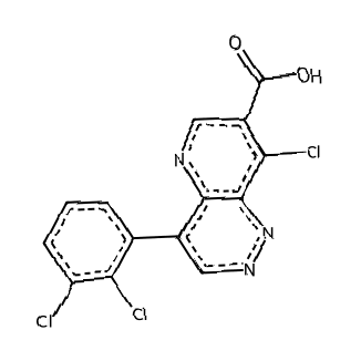 O=C(O)c1cnc2c(-c3cccc(Cl)c3Cl)cnnc2c1Cl